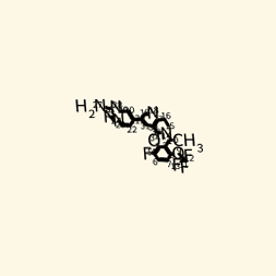 CC(c1cc(F)ccc1OC(F)(F)F)N1CCc2ncc(-c3ccn4nc(N)nc4c3)cc2C1=O